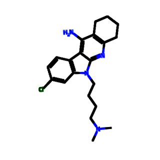 CN(C)CCCCn1c2cc(Cl)ccc2c2c(N)c3c(nc21)CCCC3